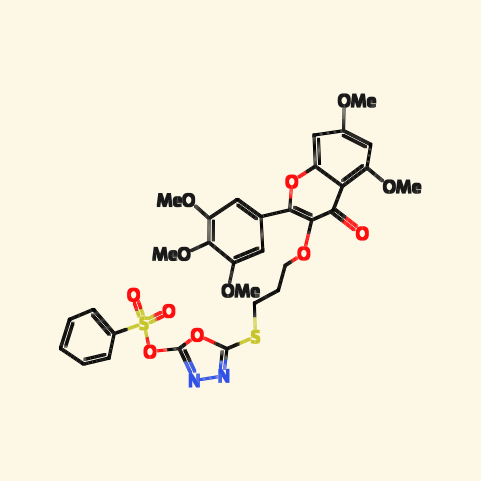 COc1cc(OC)c2c(=O)c(OCCCSc3nnc(OS(=O)(=O)c4ccccc4)o3)c(-c3cc(OC)c(OC)c(OC)c3)oc2c1